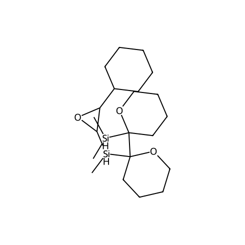 C[SiH](C)C1(C2([SiH](C)C3OC3C3CCCCC3)CCCCO2)CCCCO1